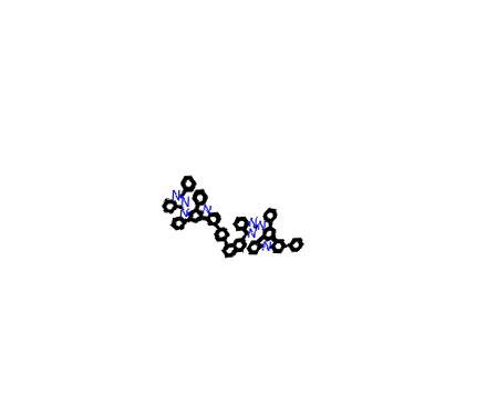 c1ccc(-c2ccc3c(c2)c2cc4c5ccccc5n(-c5nc(-c6ccc7cccc(-c8ccc(-c9ccc%10c(c9)c9cc%11c%12ccccc%12n(-c%12nc(-c%13ccccc%13)nc%13ccccc%12%13)c%11c%11c%12ccccc%12n%10c9%11)cc8)c7c6)c6ccccc6n5)c4c4c5ccccc5n3c24)cc1